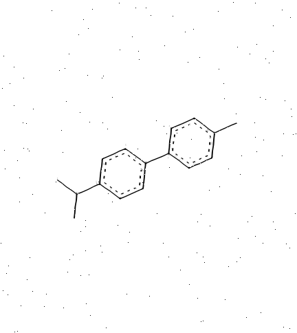 Cc1ccc(-c2ccc(C(C)C)cc2)cc1